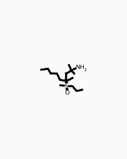 CCCCCC(C)(CC(C)(C)N)[SH](C)(=O)CCC